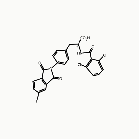 O=C(N[C@@H](Cc1ccc(N2C(=O)c3ccc(F)cc3C2=O)cc1)C(=O)O)c1c(Cl)cccc1Cl